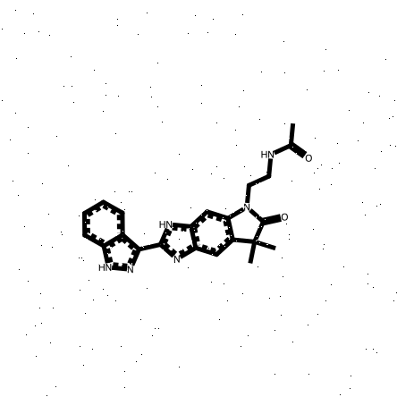 CC(=O)NCCN1C(=O)C(C)(C)c2cc3nc(-c4n[nH]c5ccccc45)[nH]c3cc21